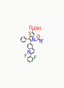 CN(C)C(=O)Cn1c(-c2ccc3nc(-c4c(F)cccc4F)ccc3c2)c(-c2ccccc2)c2sc(C(=O)O)cc21